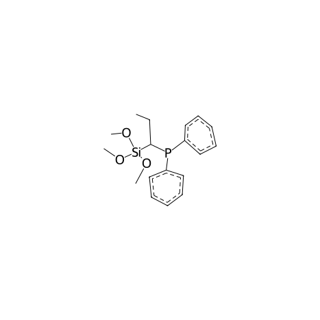 CCC(P(c1ccccc1)c1ccccc1)[Si](OC)(OC)OC